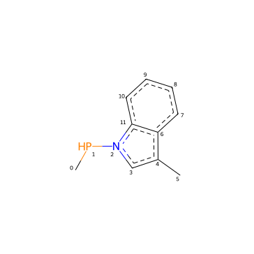 CPn1cc(C)c2ccccc21